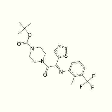 Cc1c(/N=C(/C(=O)N2CCN(C(=O)OC(C)(C)C)CC2)c2cccs2)cccc1C(F)(F)F